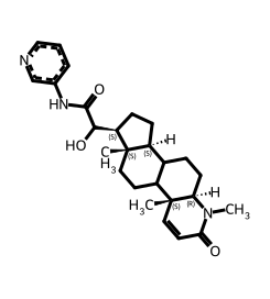 CN1C(=O)C=C[C@]2(C)C3CC[C@]4(C)[C@@H](C(O)C(=O)Nc5cccnc5)CC[C@H]4C3CC[C@@H]12